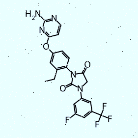 CCc1cc(Oc2ccnc(N)n2)ccc1N1C(=O)CN(c2cc(F)cc(C(F)(F)F)c2)C1=O